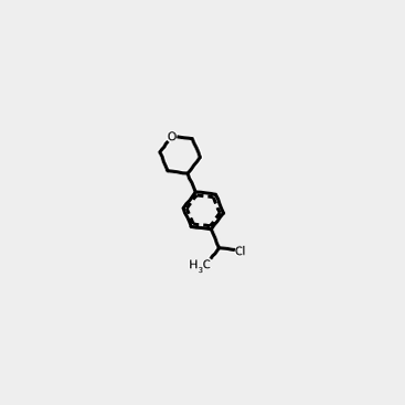 CC(Cl)c1ccc(C2CCOCC2)cc1